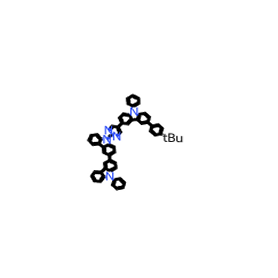 CC(C)(C)c1ccc(-c2ccc3c(c2)c2cc(-c4cnc(-n5c6ccccc6c6cc(-c7ccc8c(c7)c7ccccc7n8-c7ccccc7)ccc65)nc4)ccc2n3-c2ccccc2)cc1